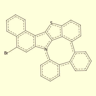 Brc1cc2c(c3ccccc13)c1sc3cccc4c5ccccc5c5ccccc5n2c1c34